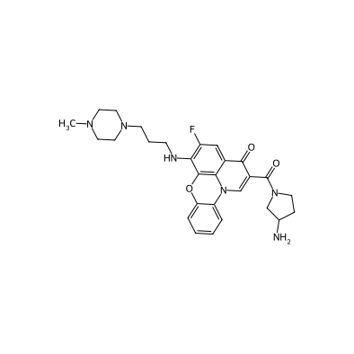 CN1CCN(CCCNc2c(F)cc3c(=O)c(C(=O)N4CCC(N)C4)cn4c3c2Oc2ccccc2-4)CC1